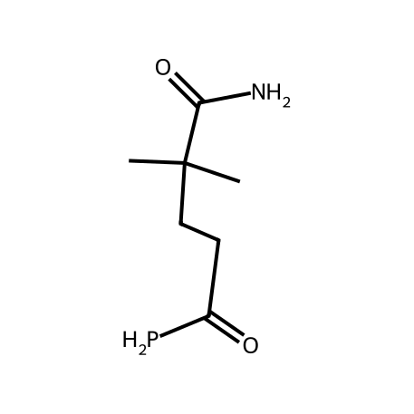 CC(C)(CCC(=O)P)C(N)=O